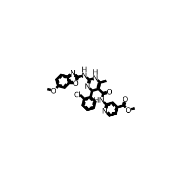 COC(=O)c1ccnc(NC(=O)C2=C(C)NC(Nc3nc4ccc(OC)cc4o3)=NC2c2ccccc2Cl)c1